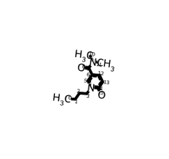 CCCCn1cc(C(=O)N(C)C)ccc1=O